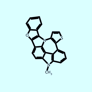 Cn1c2cccc3c4sccc4n4c5c6ccccc6oc5c5ccc1c(c32)c54